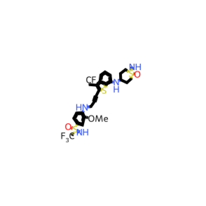 COc1cc(S(=N)(=O)C(F)(F)F)ccc1NCC#Cc1sc2c(NC3CCS(=N)(=O)CC3)cccc2c1CC(F)(F)F